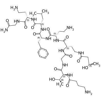 CC(C)C[C@H](NC(=O)[C@@H](Cc1ccccc1)NC(=O)[C@H](CCN)NC(=O)[C@H](CCNC(=O)C[C@@H](C)O)NC(=O)CNC(=O)[C@@H](NC(=O)CCCN)[C@@H](C)O)C(=O)N[C@@H](CCN)C(=O)NCC(N)=O